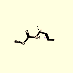 C/C=C/[C@@H](C)NC(=O)OC(C)(C)C